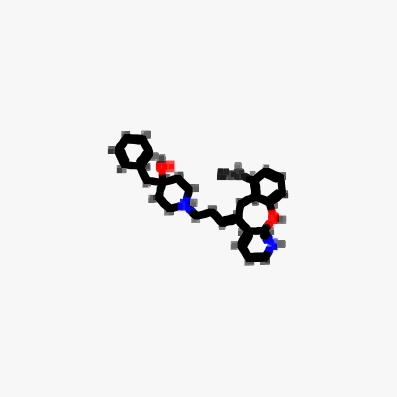 COc1cccc2c1CC(=CCCN1CCC(O)(Cc3ccccc3)CC1)c1cccnc1O2